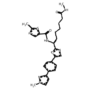 CNC(=O)CCCCCC(NC(=O)c1cnc(C)s1)c1ncc(-c2ccc(-c3ccn(C)n3)cc2)o1